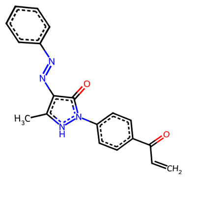 C=CC(=O)c1ccc(-n2[nH]c(C)c(N=Nc3ccccc3)c2=O)cc1